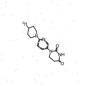 [2H]C1CCN(c2ccc(N3CCC(=O)NC3=O)cn2)CC1